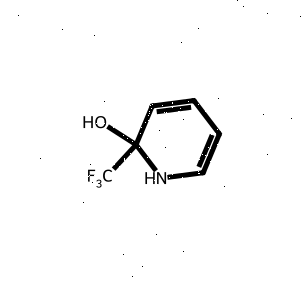 OC1(C(F)(F)F)C=CC=CN1